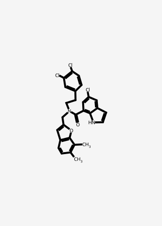 Cc1ccc2cc(CN(CCc3ccc(Cl)c(Cl)c3)C(=O)c3cc(Cl)cc4cc[nH]c34)oc2c1C